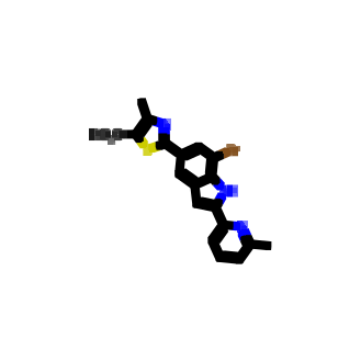 CCOC(=O)c1sc(-c2cc(Br)c3[nH]c(-c4cccc(C)n4)cc3c2)nc1C